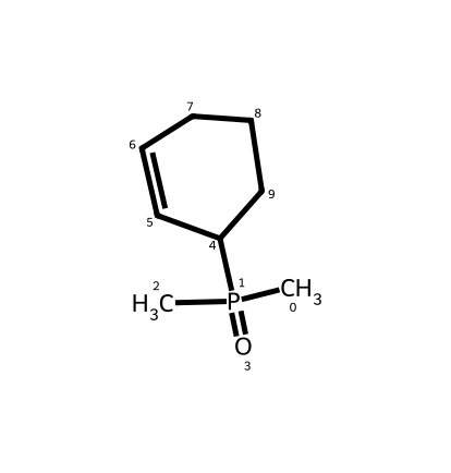 CP(C)(=O)C1C=CCCC1